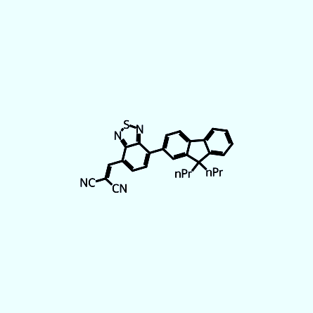 CCCC1(CCC)c2ccccc2-c2ccc(-c3ccc(C=C(C#N)C#N)c4nsnc34)cc21